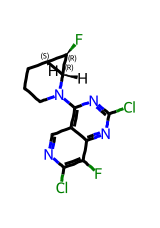 Fc1c(Cl)ncc2c(N3CCC[C@@H]4[C@@H](F)[C@@H]43)nc(Cl)nc12